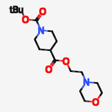 CC(C)(C)OC(=O)N1CCC(C(=O)OCCN2CCOCC2)CC1